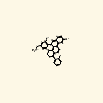 Cc1ccccc1C1=c2ccc3c(c2CCC1)C(c1ccc(CN)cc1F)C=c1ccc(F)cc1=3